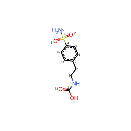 NS(=O)(=O)c1ccc(CCNC(=O)O)cc1